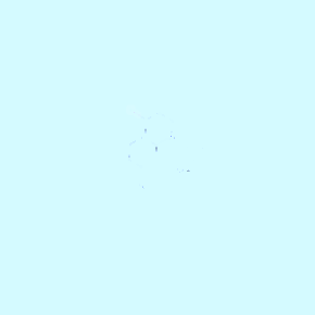 COc1c(N2CCSCC2)c(F)cc2c(=O)c(C(=O)O)cn(C3CC3)c12